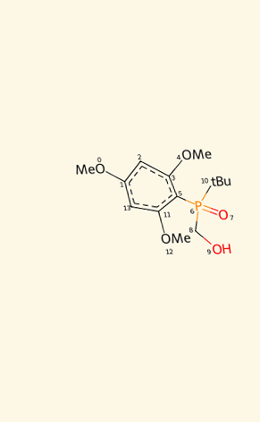 COc1cc(OC)c(P(=O)(CO)C(C)(C)C)c(OC)c1